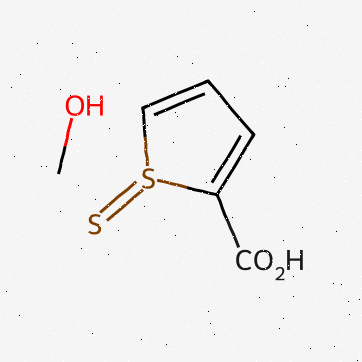 CO.O=C(O)C1=CC=CS1=S